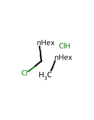 CCCCCCC.CCCCCCCCl.Cl